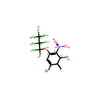 C[C]1C(Br)=CC(SC(F)(F)C(F)(F)C(F)(F)F)=C([N+](=O)[O-])C1Br